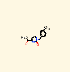 COC(=O)c1ccn(Cc2ccc(C(F)(F)F)cc2)c(=O)n1